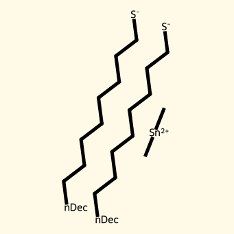 CCCCCCCCCCCCCCCCCC[S-].CCCCCCCCCCCCCCCCCC[S-].[CH3][Sn+2][CH3]